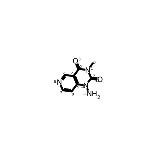 Cn1c(=O)c2cnccc2n(N)c1=O